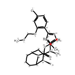 COCOc1cc(Cl)ccc1-c1nnc(N(C)[C@@H]2CC3CCCC([C@@H]2F)N3C(=O)OC(C)(C)C)s1